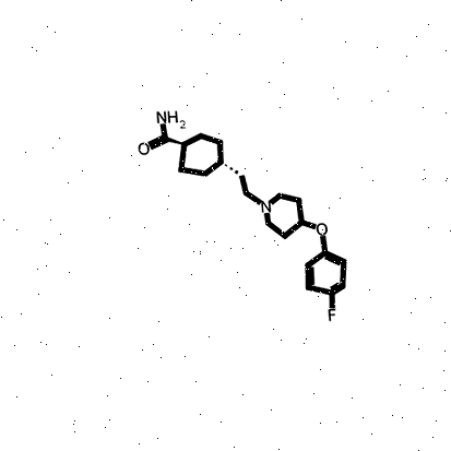 NC(=O)[C@H]1CC[C@H](CCN2CCC(Oc3ccc(F)cc3)CC2)CC1